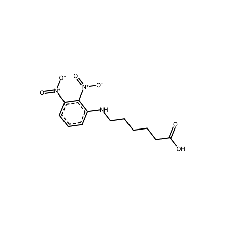 O=C(O)CCCCCNc1cccc([N+](=O)[O-])c1[N+](=O)[O-]